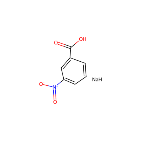 O=C(O)c1cccc([N+](=O)[O-])c1.[NaH]